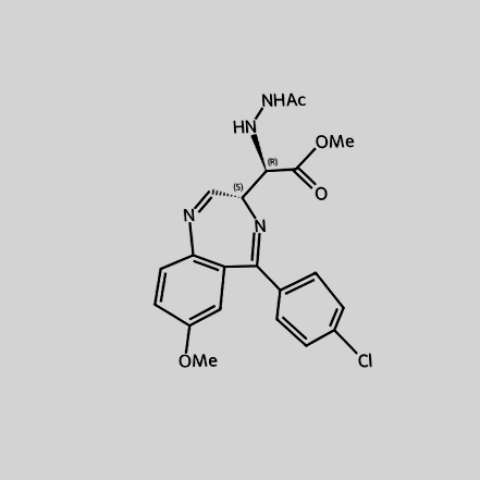 COC(=O)[C@H](NNC(C)=O)[C@H]1C=Nc2ccc(OC)cc2C(c2ccc(Cl)cc2)=N1